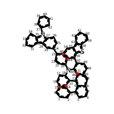 c1ccc(-c2cccc3cccc(-c4ccccc4N(c4ccc(-c5ccc6c(c5)c5ccccc5n6-c5ccccc5)cc4)c4ccccc4-c4cccc5c4sc4ccccc45)c23)cc1